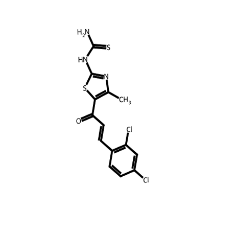 Cc1nc(NC(N)=S)sc1C(=O)/C=C/c1ccc(Cl)cc1Cl